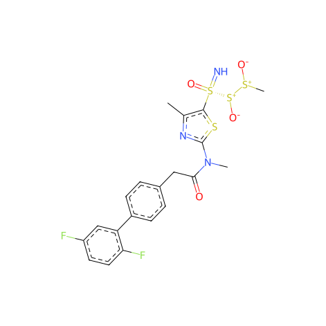 Cc1nc(N(C)C(=O)Cc2ccc(-c3cc(F)ccc3F)cc2)sc1[S@](=N)(=O)[S+]([O-])[S+](C)[O-]